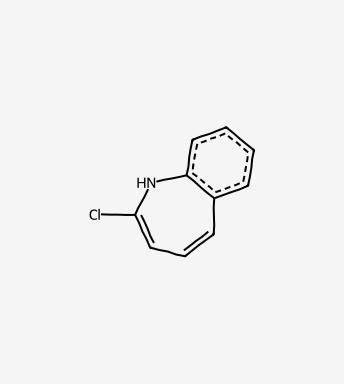 ClC1=CC=Cc2ccccc2N1